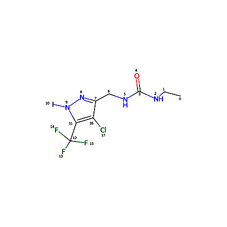 CCNC(=O)NCc1nn(I)c(C(F)(F)F)c1Cl